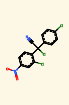 N#CC(Cl)(c1ccc(Cl)cc1)c1ccc([N+](=O)[O-])cc1Cl